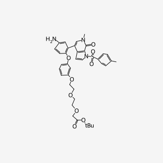 Cc1ccc(S(=O)(=O)n2ccc3c(-c4cc(N)ccc4Oc4cccc(OCCOCCOCC(=O)OC(C)(C)C)c4)cn(C)c(=O)c32)cc1